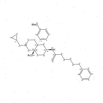 COc1cccc([C@@]23CCN(CC4CC4)C[C@@]2(OC(C)=O)CC[C@H](NC(=O)CCCCCc2ccccc2)C3)c1